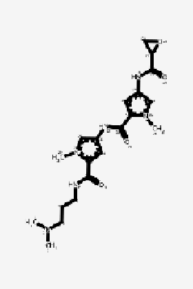 CN(C)CCCNC(=O)c1cc(NC(=O)c2cc(NC(=O)C3CO3)cn2C)cn1C